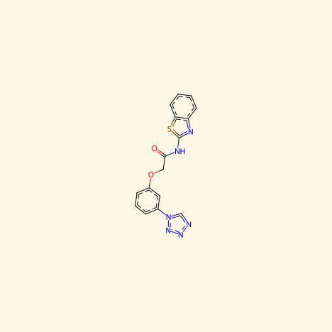 O=C(COc1cccc(-n2cnnn2)c1)Nc1nc2ccccc2s1